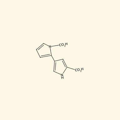 O=C(O)c1cc(-c2cccn2C(=O)O)c[nH]1